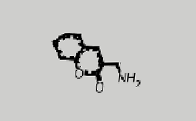 N[CH]c1cc2ccccc2oc1=O